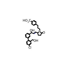 O=C(O)c1ccc(CCCN2C(=O)CCC2/C=C/C(O)c2cccc(-c3ccc(Cl)cc3CO)c2)cc1